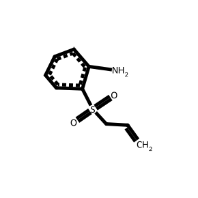 C=CCS(=O)(=O)c1ccc[c]c1N